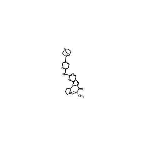 CN(C)C(=O)c1cc2cnc(Nc3ccc(N4CCN5CCC4CC5)cn3)nc2n1C1CCCC1